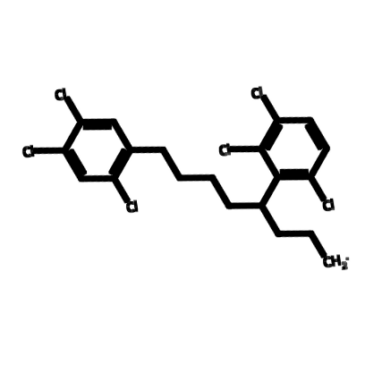 [CH2]CCC(CCCCc1cc(Cl)c(Cl)cc1Cl)c1c(Cl)ccc(Cl)c1Cl